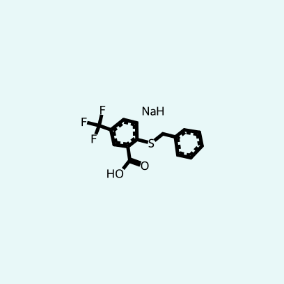 O=C(O)c1cc(C(F)(F)F)ccc1SCc1ccccc1.[NaH]